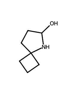 OC1CCC2(CCC2)N1